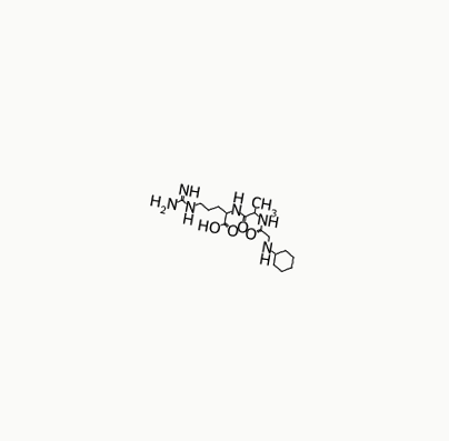 CC(NC(=O)CNC1CCCCC1)C(=O)NC(CCCNC(=N)N)C(=O)O